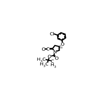 CC(C)(C)OC(=O)N1C[C@@H](Oc2cccc(Cl)c2)CC1=C=O